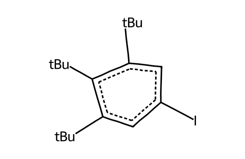 CC(C)(C)c1cc(I)cc(C(C)(C)C)c1C(C)(C)C